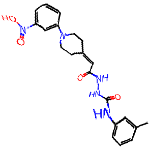 Cc1cccc(NC(=O)NNC(=O)C=C2CCN(c3cccc([N+](=O)O)c3)CC2)c1